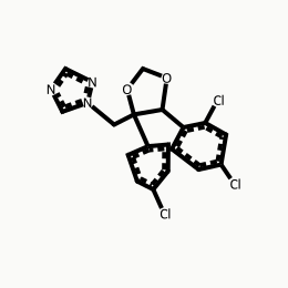 Clc1ccc(C2(Cn3cncn3)OCOC2c2ccc(Cl)cc2Cl)cc1